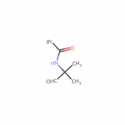 CC(C)C(=O)NC(C)(C)[C]=O